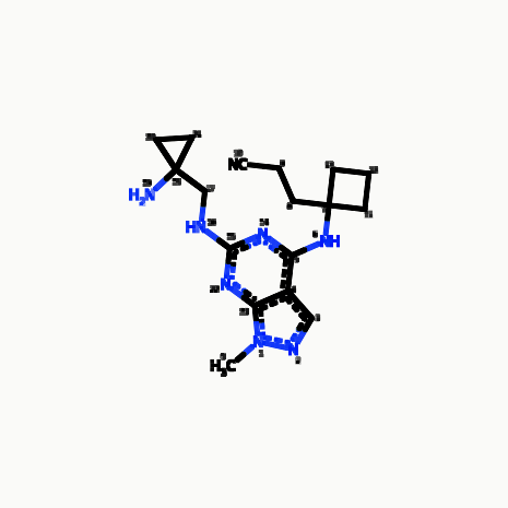 Cn1ncc2c(NC3(CCC#N)CCC3)nc(NCC3(N)CC3)nc21